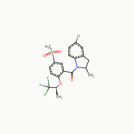 CC1Cc2cc(Cl)ccc2N1C(=O)c1cc(S(C)(=O)=O)ccc1O[C@@H](C)C(F)(F)F